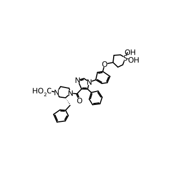 O=C(O)N1CCN(C(=O)c2ncn(-c3cccc(OC4CCS(O)(O)CC4)c3)c2-c2ccccc2)[C@H](Cc2ccccc2)C1